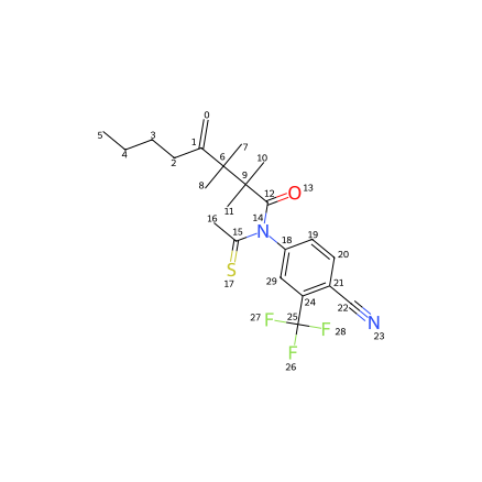 C=C(CCCC)C(C)(C)C(C)(C)C(=O)N(C(C)=S)c1ccc(C#N)c(C(F)(F)F)c1